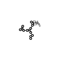 CC1(C)c2ccccc2-c2cc(-c3ccc(N(c4ccc(-c5ccc6c7ccccc7n(-c7ccccc7)c6c5)cc4)c4ccc(-c5cccc6c5ccc5ccccc56)cc4)cc3)ccc21